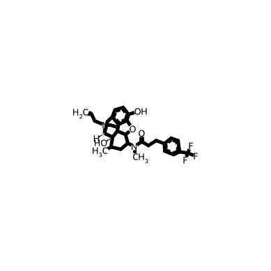 C=CCN1CC[C@]23c4c5ccc(O)c4OC2C(N(C)C(=O)CCc2ccc(C(F)(F)F)cc2)CC(C)[C@@]3(O)[C@H]1C5